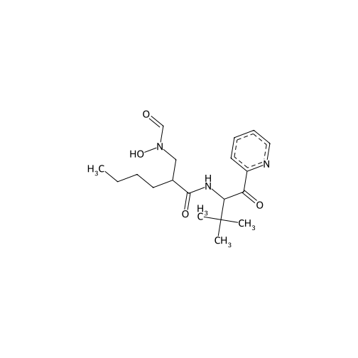 CCCCC(CN(O)C=O)C(=O)NC(C(=O)c1ccccn1)C(C)(C)C